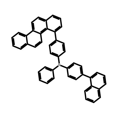 c1ccc(N(c2ccc(-c3cccc4ccccc34)cc2)c2ccc(-c3cccc4ccc5c6ccccc6ccc5c34)cc2)cc1